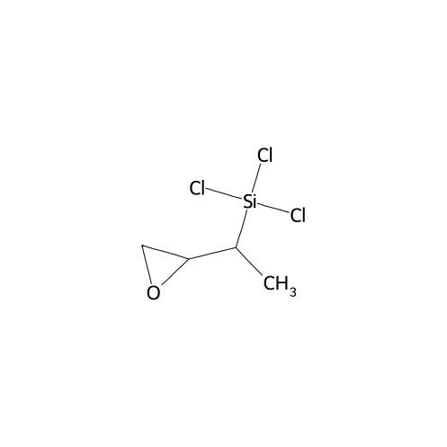 CC(C1CO1)[Si](Cl)(Cl)Cl